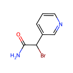 NC(=O)C(Br)c1cccnc1